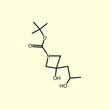 CC(O)CC1(O)CN(C(=O)OC(C)(C)C)C1